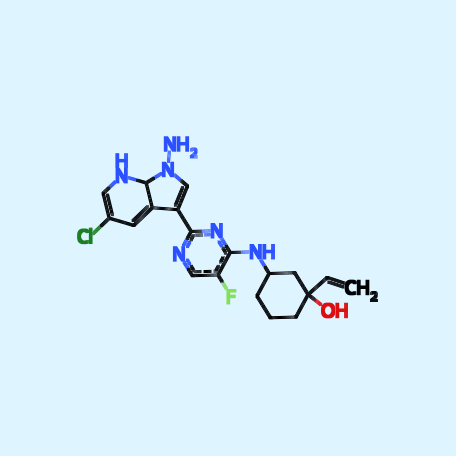 C=CC1(O)CCCC(Nc2nc(C3=CN(N)C4NC=C(Cl)C=C34)ncc2F)C1